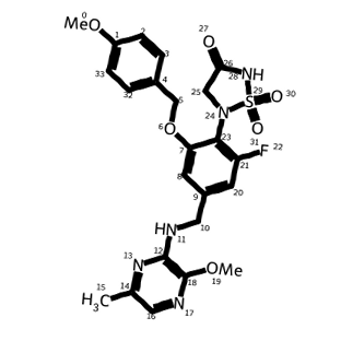 COc1ccc(COc2cc(CNc3nc(C)cnc3OC)cc(F)c2N2CC(=O)NS2(=O)=O)cc1